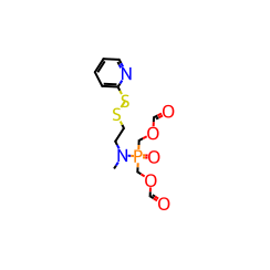 CN(CCSSc1ccccn1)P(=O)(COC=O)COC=O